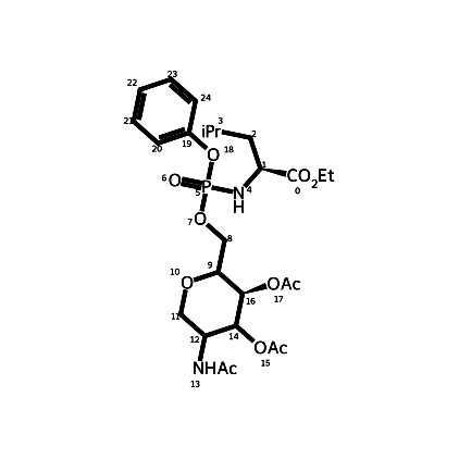 CCOC(=O)[C@H](CC(C)C)NP(=O)(OCC1OCC(NC(C)=O)C(OC(C)=O)[C@@H]1OC(C)=O)Oc1ccccc1